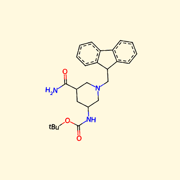 CC(C)(C)OC(=O)NC1CC(C(N)=O)CN(CC2c3ccccc3-c3ccccc32)C1